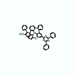 Oc1cccc(-c2cccc3c2N(c2ccccc2Cl)c2ccc(-c4nc(-c5ccccc5)nc(-c5ccccc5)n4)cc2-c2ccccc2-3)c1-c1ccccc1